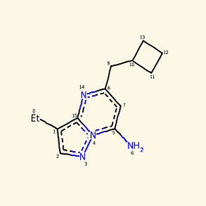 CCc1cnn2c(N)cc(CC3CCC3)nc12